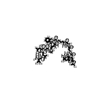 CN[C@H](C(=O)N[C@H](C(=O)N(C)[C@H]([C@@H](CC(=O)N1CCC[C@H]1[C@H](OC)[C@@H](C)C(=O)N[C@H](Cc1ccccc1)C(=O)NCCCOC(=O)[C@H](C)NC(=O)CCNC(=O)OCC(OC(C)C)OC(CO)CC(C)(C)C)OC)[C@@H](C)C(C)C)C(C)C)C(C)C